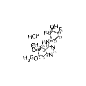 COc1cc2ncnc(Nc3ccc(F)c(O)c3F)c2cc1OC.Cl